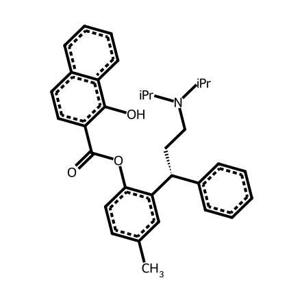 Cc1ccc(OC(=O)c2ccc3ccccc3c2O)c([C@H](CCN(C(C)C)C(C)C)c2ccccc2)c1